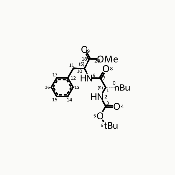 CCCC[C@H](NC(=O)OC(C)(C)C)C(=O)N[C@@H](Cc1ccccc1)C(=O)OC